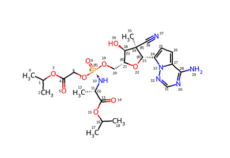 CC(C)OC(=O)CO[P@@](=O)(N[C@@H](C)C(=O)OC(C)C)OC[C@H]1O[C@@H](c2ccc3c(N)ncnn23)[C@](C)(C#N)[C@@H]1O